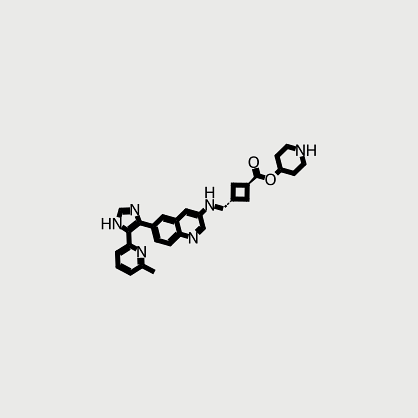 Cc1cccc(-c2[nH]cnc2-c2ccc3ncc(NC[C@H]4C[C@H](C(=O)OC5CCNCC5)C4)cc3c2)n1